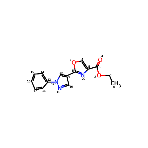 CCOC(=O)c1coc(-c2cnn(-c3ccccc3)c2)n1